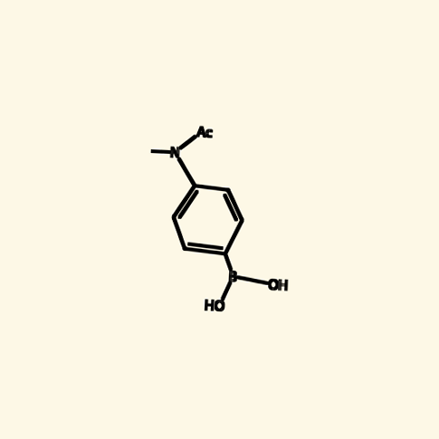 CC(=O)N(C)c1ccc(B(O)O)cc1